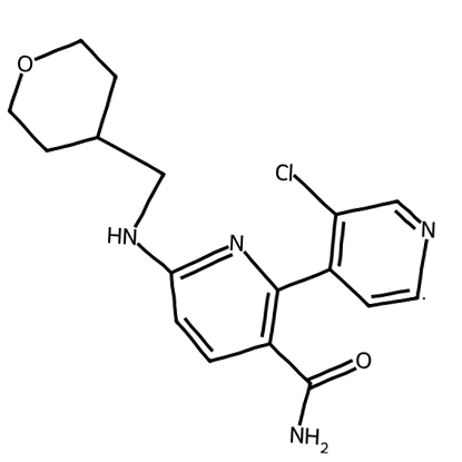 NC(=O)c1ccc(NCC2CCOCC2)nc1-c1c[c]ncc1Cl